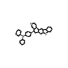 c1ccc(N(c2ccccc2)c2ccc(-c3cc4cc5sc6ccccc6c5cc4c4ccncc34)cc2)cc1